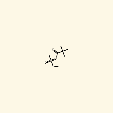 CCS(C)(=O)=NC(=O)C(C)(C)C